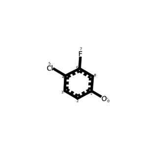 [O]c1ccc(Cl)c(F)c1